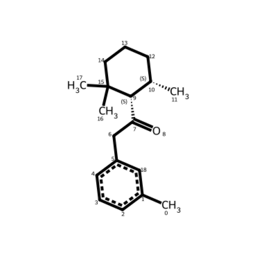 Cc1cccc(CC(=O)[C@H]2[C@@H](C)CCCC2(C)C)c1